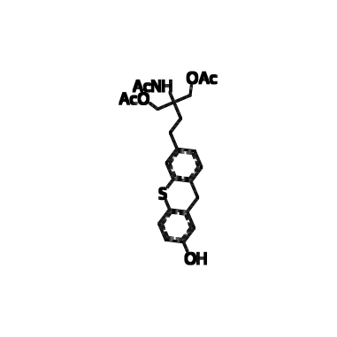 CC(=O)NC(CCc1ccc2c(c1)Sc1ccc(O)cc1C2)(COC(C)=O)COC(C)=O